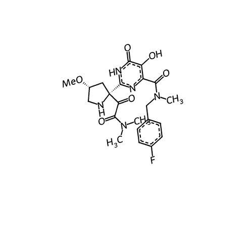 CO[C@H]1CN[C@@](C(=O)C(=O)N(C)C)(c2nc(C(=O)N(C)Cc3ccc(F)cc3)c(O)c(=O)[nH]2)C1